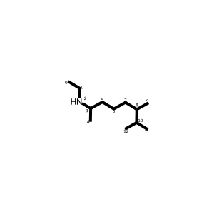 CCNC(C)CCCC(C)C(C)C